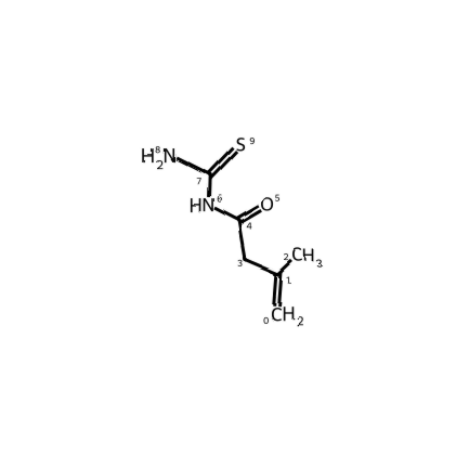 C=C(C)CC(=O)NC(N)=S